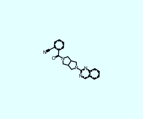 N#Cc1ccccc1C(=O)N1CC2CN(c3ncc4ccccc4n3)CC2C1